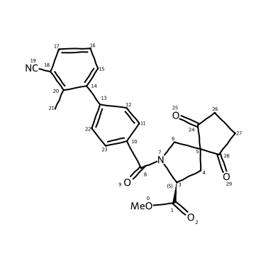 COC(=O)[C@@H]1CC2(CN1C(=O)c1ccc(-c3cccc(C#N)c3C)cc1)C(=O)CCC2=O